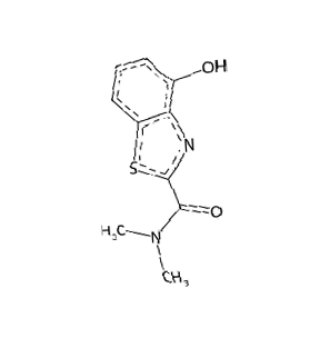 CN(C)C(=O)c1nc2c(O)cccc2s1